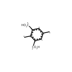 Cc1cc(C(=O)O)c(C)c(C(=O)O)c1